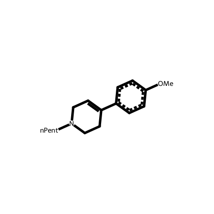 [CH2]CCCCN1CC=C(c2ccc(OC)cc2)CC1